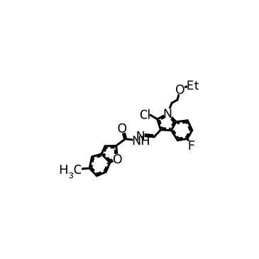 CCOCCn1c(Cl)c(C=NNC(=O)c2cc3cc(C)ccc3o2)c2cc(F)ccc21